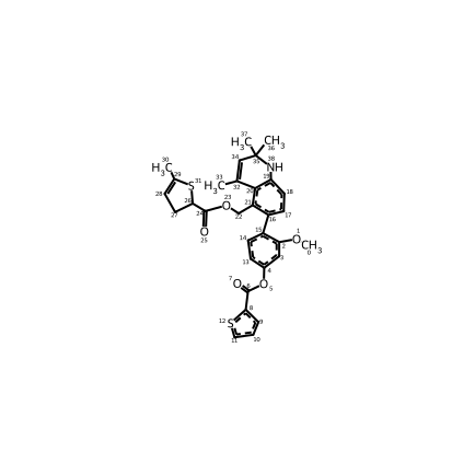 COc1cc(OC(=O)c2cccs2)ccc1-c1ccc2c(c1COC(=O)C1CC=C(C)S1)C(C)=CC(C)(C)N2